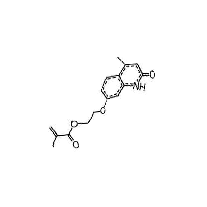 C=C(C)C(=O)OCCOc1ccc2c(C)cc(=O)[nH]c2c1